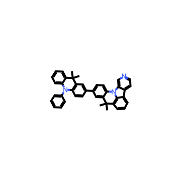 CC1(C)c2ccccc2N(c2ccccc2)c2ccc(-c3ccc4c(c3)C(C)(C)c3cccc5c6ccncc6n-4c35)cc21